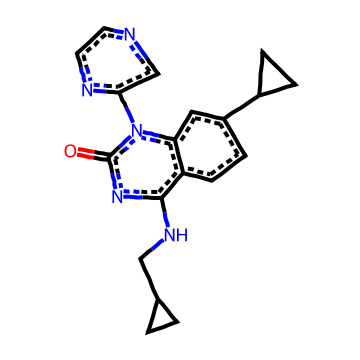 O=c1nc(NCC2CC2)c2ccc(C3CC3)cc2n1-c1cnccn1